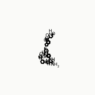 CN1CCN([C@@H]2CCCN(c3cnc(C(N)=O)c(Nc4ccc5c(c4)OC[C@H]4CN(C[C@H]6Cc7ccc8c(C9CCC(=O)NC9=O)noc8c7C6)CCN54)n3)C2)C1O